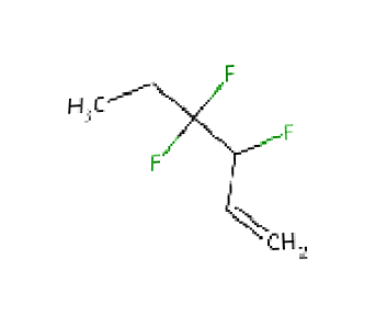 C=CC(F)C(F)(F)CC